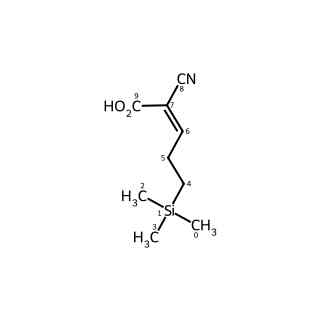 C[Si](C)(C)CCC=C(C#N)C(=O)O